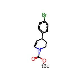 CC(C)(C)OC(=O)N1C=CC(c2ccc(Br)cc2)CC1